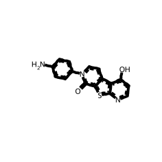 Nc1ccc(-n2ccc3c(sc4nccc(O)c43)c2=O)cc1